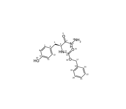 NNC(=O)[C@H](Cc1ccc(O)cc1)NC(=O)OCc1ccccc1